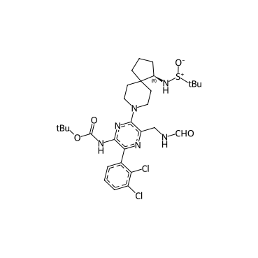 CC(C)(C)OC(=O)Nc1nc(N2CCC3(CCC[C@H]3N[S+]([O-])C(C)(C)C)CC2)c(CNC=O)nc1-c1cccc(Cl)c1Cl